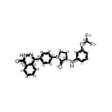 O=C1[C@@H](Nc2cccc(OC(F)F)c2)CCN1c1ccc(-c2n[nH]c(=O)c3ccccc23)cc1